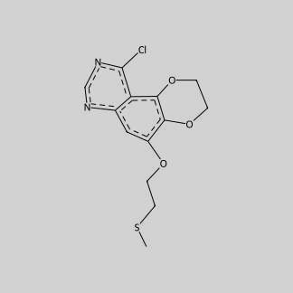 CSCCOc1cc2ncnc(Cl)c2c2c1OCCO2